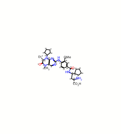 CC[C@@H]1C(=O)N(C)c2cnc(Nc3ccc(C(=O)NC(C[C@H](N)C(=O)O)C4CCCC4)cc3OC)nc2N1C1CCCC1